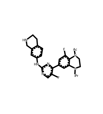 CC(=O)N1CCN(C(C)C)c2cc(-c3nc(Nc4ccc5c(c4)CNCC5)ncc3F)cc(F)c21